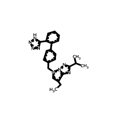 CCc1cn(Cc2ccc(-c3ccccc3-c3nnn[nH]3)cc2)n2nc(C(C)C)nc12